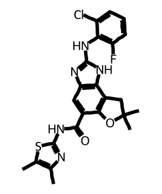 Cc1nc(NC(=O)c2cc3nc(Nc4c(F)cccc4Cl)[nH]c3c3c2OC(C)(C)C3)sc1C